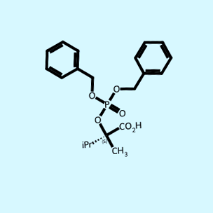 CC(C)[C@](C)(OP(=O)(OCc1ccccc1)OCc1ccccc1)C(=O)O